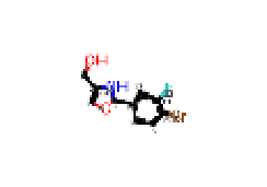 OCC1=COC(c2ccc(Br)c(F)c2)N1